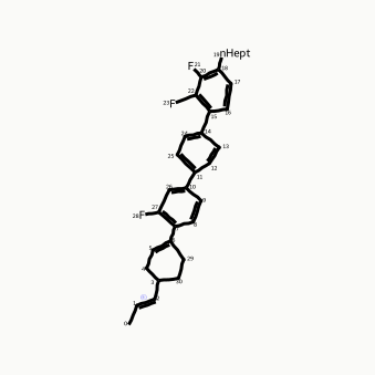 C/C=C/C1CC=C(c2ccc(-c3ccc(-c4ccc(CCCCCCC)c(F)c4F)cc3)cc2F)CC1